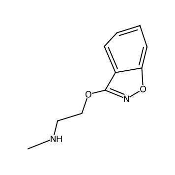 CNCCOc1noc2ccccc12